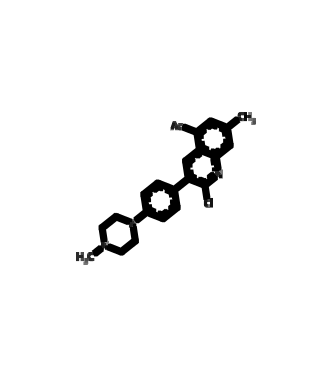 CC(=O)c1cc(C)cc2nc(Cl)c(-c3ccc(N4CCN(C)CC4)cc3)cc12